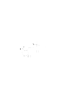 CC(C)(C)C(=O)OCC1CNCCN1S(C)(=O)=O